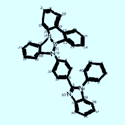 c1ccc(-n2c(-c3ccc(N4B5c6ccccc6-c6ccccc6N5c5ccccc54)cc3)nc3ccccc32)cc1